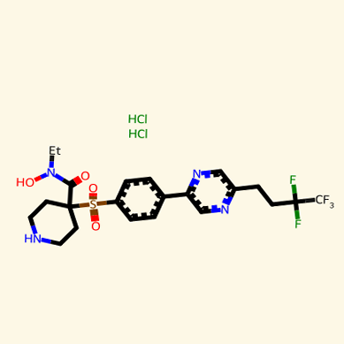 CCN(O)C(=O)C1(S(=O)(=O)c2ccc(-c3cnc(CCC(F)(F)C(F)(F)F)cn3)cc2)CCNCC1.Cl.Cl